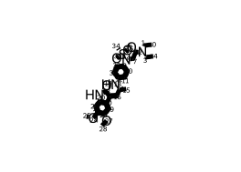 CCN(CC)C(=O)CN(c1ccc(NC(C)C=C2C(=O)Nc3cc(OC)c(OC)cc32)cc1)S(C)(=O)=O